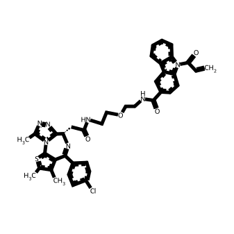 C=CC(=O)n1c2ccccc2c2cc(C(=O)NCCOCCNC(=O)C[C@@H]3N=C(c4ccc(Cl)cc4)c4c(sc(C)c4C)-n4c(C)nnc43)ccc21